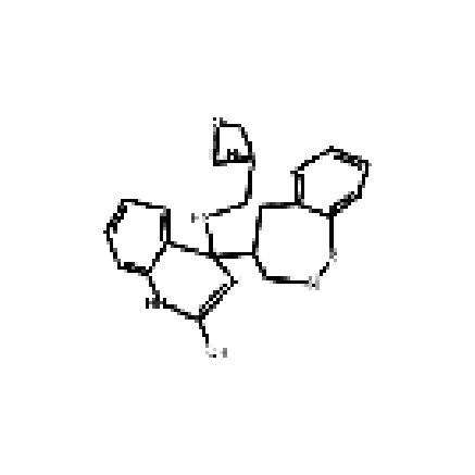 NC1(CNC2(C3CNSc4ccccc4C3)N=C(O)Nc3ccccc32)COC1